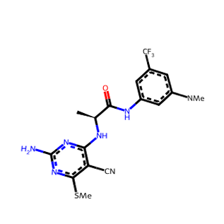 CNc1cc(NC(=O)[C@H](C)Nc2nc(N)nc(SC)c2C#N)cc(C(F)(F)F)c1